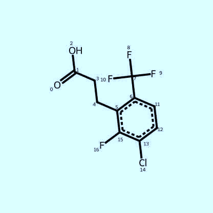 O=C(O)CCc1c(C(F)(F)F)ccc(Cl)c1F